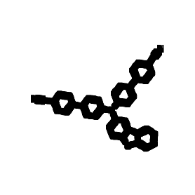 N#Cc1ccc(-c2ccc(N(c3ccc(-c4ccc(C#N)cc4)cc3)c3ccc4oc5ccccc5c4c3)cc2)cc1